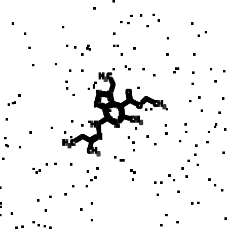 CCOC(=O)c1c(C)nc(NN=C(C)CC)c2nnn(CC)c12